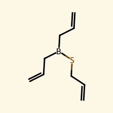 C=CCSB(CC=C)CC=C